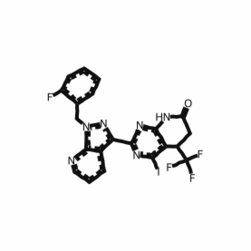 O=C1CC(C(F)(F)F)c2c(I)nc(-c3nn(Cc4ccccc4F)c4ncccc34)nc2N1